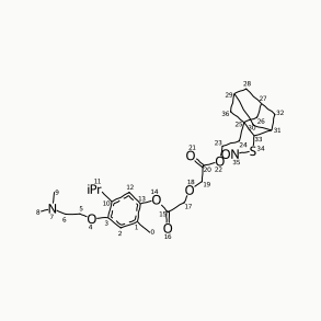 Cc1cc(OCCN(C)C)c(C(C)C)cc1OC(=O)COCC(=O)OCCC12CC3CC(CC(C3)C1SN=O)C2